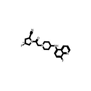 N#CC1C[C@H](F)CN1C(=O)CN1CCC(Nc2ccc(F)c3ncccc23)CC1